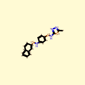 Cc1nnc(NSc2ccc(NSc3ccc4ccccc4c3)cc2)s1